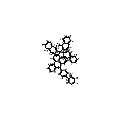 c1ccc(-c2cccc(N(c3ccc4c(c3)oc3ccccc34)c3ccccc3-c3ccc4c(c3)-c3ccccc3C43c4ccc5ccccc5c4Oc4c3ccc3ccccc43)c2)cc1